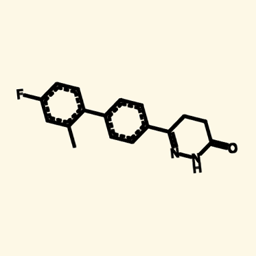 Cc1cc(F)ccc1-c1ccc(C2=NNC(=O)CC2)cc1